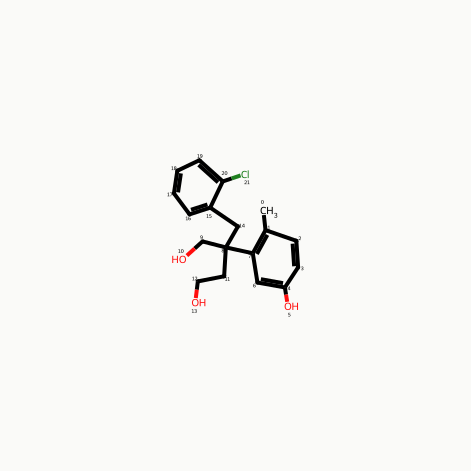 Cc1ccc(O)cc1C(CO)(CCO)Cc1ccccc1Cl